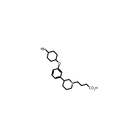 CC(C)(C)C1CCC(Oc2cccc(C3CCCN(CCCC(=O)O)C3)c2)CC1